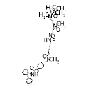 CN(CCN1CCC(OC(=O)Nc2ccccc2-c2ccccc2)CC1)C(=O)CCCCCNc1nc(CC(=O)N(C)CCCN(C)C(=O)OC(C)(C)C)cs1